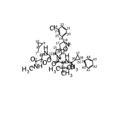 CNC(=O)C(=O)[C@H](CC1CC1)NC(=O)[C@@H]1C[C@]2(CC(c3cccc(Cl)c3)=NO2)CN1C(=O)[C@@H](NC(=O)C1C[C@@H]1c1ccccc1)C(C)(C)C